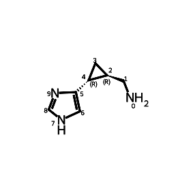 NC[C@@H]1C[C@H]1c1c[nH]cn1